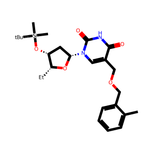 CC[C@H]1O[C@@H](n2cc(COCc3ccccc3C)c(=O)[nH]c2=O)C[C@H]1O[Si](C)(C)C(C)(C)C